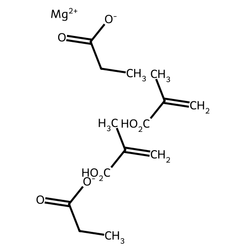 C=C(C)C(=O)O.C=C(C)C(=O)O.CCC(=O)[O-].CCC(=O)[O-].[Mg+2]